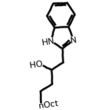 CCCCCCCCCCC(O)Cc1nc2ccccc2[nH]1